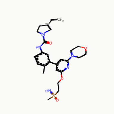 Cc1ccc(NC(=O)N2CC[C@@H](CC(F)(F)F)C2)cc1-c1cc(OCCS(C)(=N)=O)nc(N2CCOCC2)c1